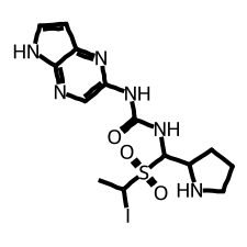 CC(I)S(=O)(=O)C(NC(=O)Nc1cnc2[nH]ccc2n1)C1CCCN1